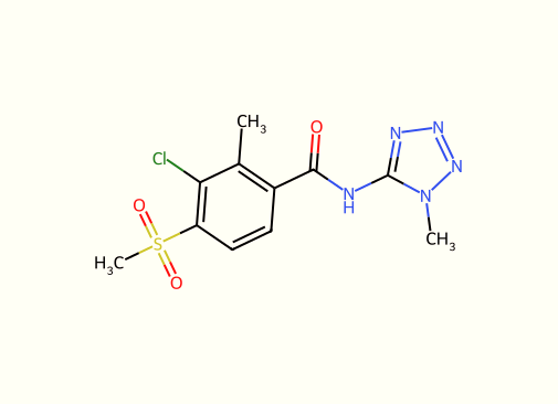 Cc1c(C(=O)Nc2nnnn2C)ccc(S(C)(=O)=O)c1Cl